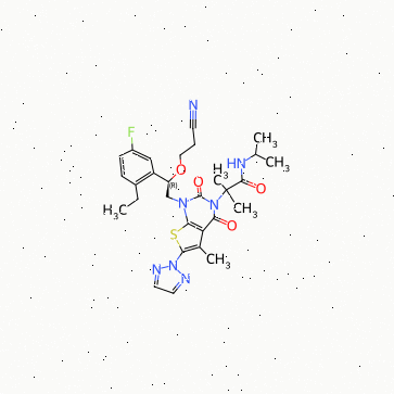 CCc1ccc(F)cc1[C@H](Cn1c(=O)n(C(C)(C)C(=O)NC(C)C)c(=O)c2c(C)c(-n3nccn3)sc21)OCCC#N